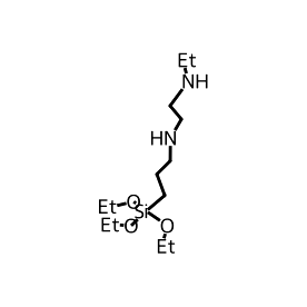 [CH2]CNCCNCCC[Si](OCC)(OCC)OCC